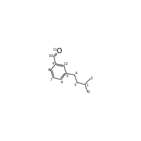 CC(C)CCc1cccc(C=O)c1